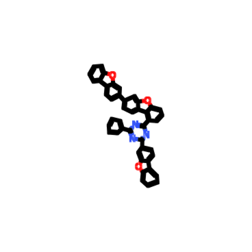 c1ccc(-c2nc(-c3ccc4c(c3)oc3ccccc34)nc(-c3cccc4oc5cc(-c6ccc7c(c6)oc6ccccc67)ccc5c34)n2)cc1